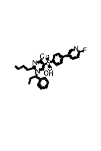 CCCCc1nc(=O)c(S(=O)(=O)c2ccc(-c3ccc(F)nc3)cc2)c(O)n1C(CC)c1ccccc1